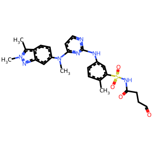 Cc1ccc(Nc2nccc(N(C)c3ccc4c(C)n(C)nc4c3)n2)cc1S(=O)(=O)NC(=O)CCC=O